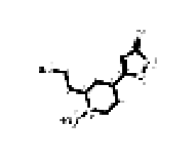 CC(C)(C)CCC1CC(c2cc(=O)[nH]o2)CCN1C(=O)O